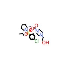 CC(C)[C@@H]1CCC[C@H](COC(=O)N2CCN(CCO)CC2)N1S(=O)(=O)c1ccc(Cl)cc1